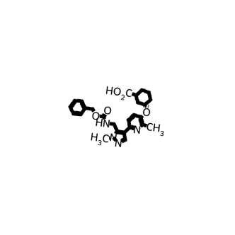 Cc1nc(-c2cnn(C)c2CNC(=O)OCc2ccccc2)ccc1O[C@H]1CCCC(C(=O)O)C1